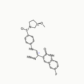 CO[C@@H]1CCN([S+]([O-])c2ccc(N/C=C(\N=N)c3cc4cc(F)ccc4[nH]c3=O)cc2)C1